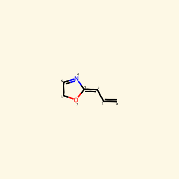 C=CC=C1N=CCO1